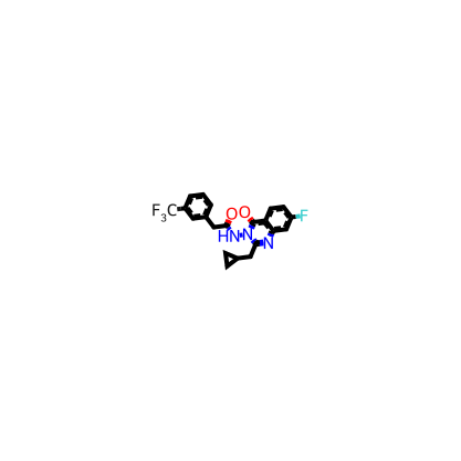 O=C(Cc1cccc(C(F)(F)F)c1)Nn1c(CC2CC2)nc2cc(F)ccc2c1=O